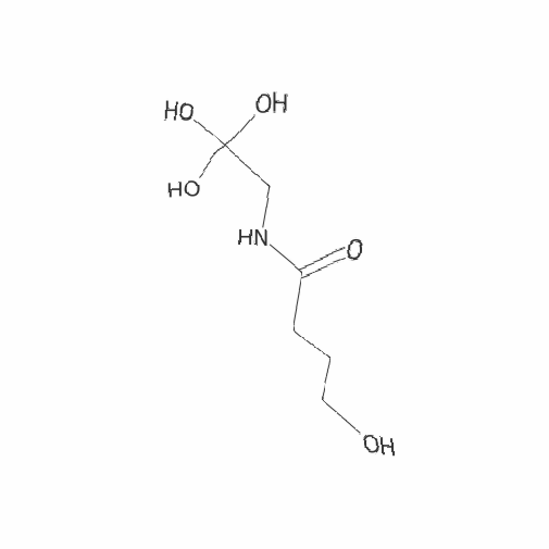 O=C(CCCO)NCC(O)(O)O